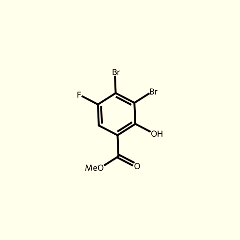 COC(=O)c1cc(F)c(Br)c(Br)c1O